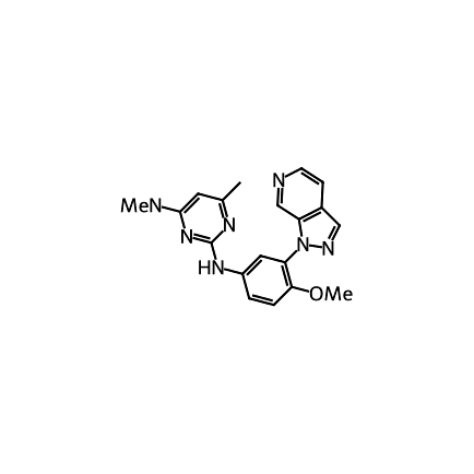 CNc1cc(C)nc(Nc2ccc(OC)c(-n3ncc4ccncc43)c2)n1